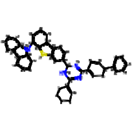 C1=CCCC(C2=NC(C3=CCC(c4ccccc4)C=C3)=NC(c3ccc4c(c3)sc3c(-n5c6ccccc6c6ccccc65)cccc34)N2)=C1